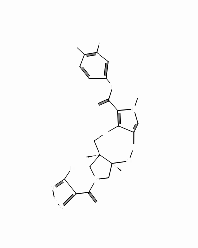 Cc1cc(NC(=O)c2c3c(cn2C)SN[C@@H]2CN(C(=O)c4nonc4N)C[C@@H]2CO3)ccc1F